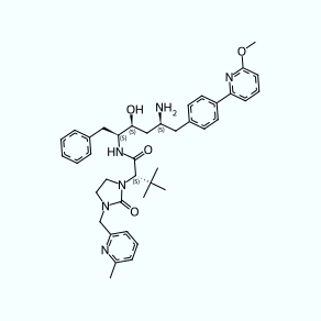 COc1cccc(-c2ccc(C[C@H](N)C[C@H](O)[C@H](Cc3ccccc3)NC(=O)[C@@H](N3CCN(Cc4cccc(C)n4)C3=O)C(C)(C)C)cc2)n1